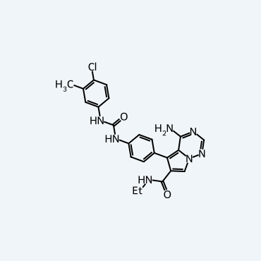 CCNC(=O)c1cn2ncnc(N)c2c1-c1ccc(NC(=O)Nc2ccc(Cl)c(C)c2)cc1